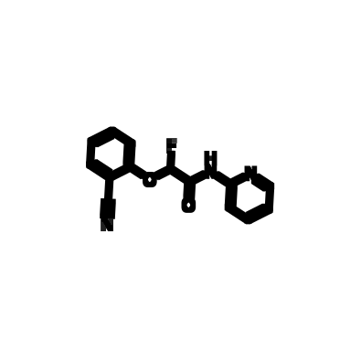 N#Cc1ccccc1OC(F)C(=O)Nc1ccccn1